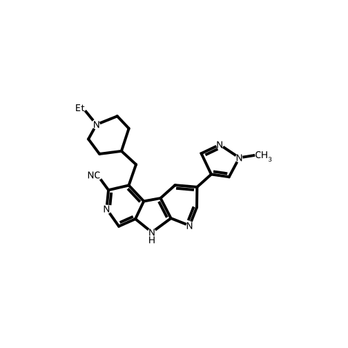 CCN1CCC(Cc2c(C#N)ncc3[nH]c4ncc(-c5cnn(C)c5)cc4c23)CC1